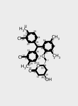 Cc1cc(C)c(OC[C@@H]2C[C@@H](O)CC(=O)O2)c(C(c2ccc(C)c(Cl)c2)c2ccc(C)c(Cl)c2)c1